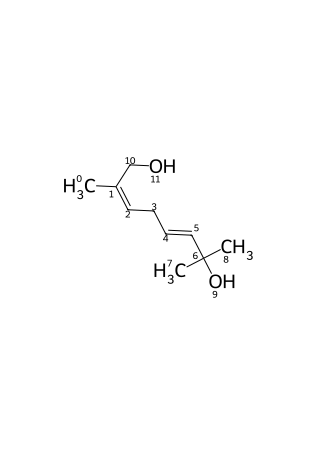 CC(=CCC=CC(C)(C)O)CO